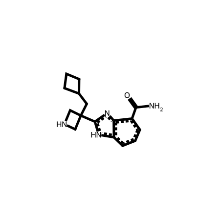 NC(=O)c1cccc2[nH]c(C3(CC4CCC4)CNC3)nc12